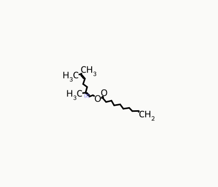 C=CCCCCCCCC(=O)OC/C=C(/C)CCC=C(C)C